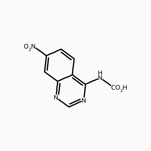 O=C(O)Nc1ncnc2cc([N+](=O)[O-])ccc12